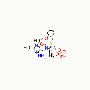 CCOc1ccccc1CS/C(CCOP(=O)(O)O)=C(/C)N(C=O)Cc1cnc(C)nc1N